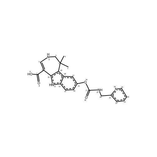 CC1(C)CNC=C(C(=O)O)c2[nH]c3ccc(OC(=O)NCc4ccccn4)cc3c21